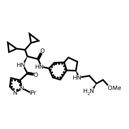 COC[C@@H](N)CN[C@@H]1CCc2cc(NC(=O)[C@@H](NC(=O)c3ccnn3C(C)C)C(C3CC3)C3CC3)ccc21